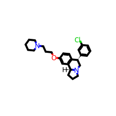 Clc1cccc([C@@H]2CN3CCC[C@H]3c3cc(OCCCN4CCCCC4)ccc32)c1